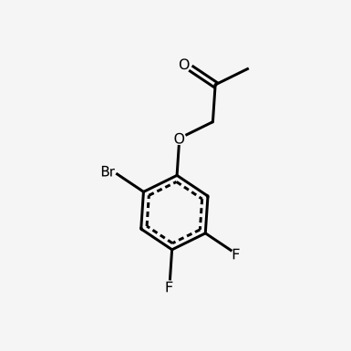 CC(=O)COc1cc(F)c(F)cc1Br